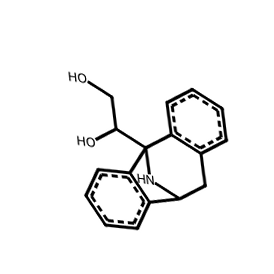 OCC(O)C12NC(Cc3ccccc31)c1ccccc12